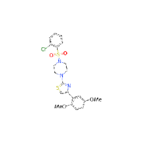 COc1ccc(OC)c(-c2csc(N3CCN(S(=O)(=O)c4ccccc4Cl)CC3)n2)c1